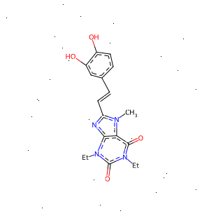 CCn1c(=O)c2c(nc(C=Cc3ccc(O)c(O)c3)n2C)n(CC)c1=O